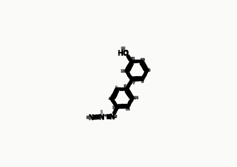 [N-]=[N+]=Nc1ccc(-c2cccc(O)c2)cc1